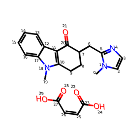 Cn1ccnc1CC1CCc2c(c3ccccc3n2C)C1=O.O=C(O)/C=C\C(=O)O